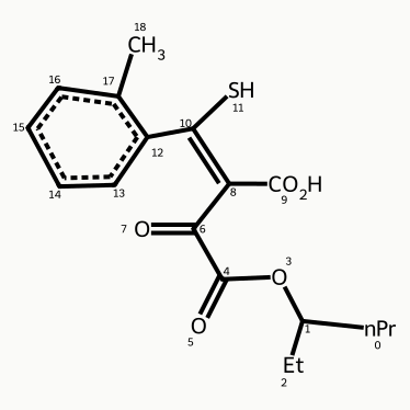 CCCC(CC)OC(=O)C(=O)C(C(=O)O)=C(S)c1ccccc1C